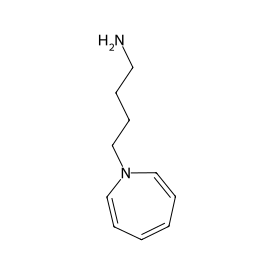 NCCCCN1C=CC=CC=C1